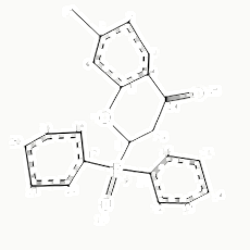 Cc1ccc2c(c1)OC(P(=O)(c1ccccc1)c1ccccc1)CC2=O